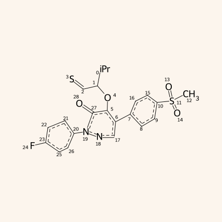 CC(C)C(C=S)Oc1c(-c2ccc(S(C)(=O)=O)cc2)cnn(-c2ccc(F)cc2)c1=O